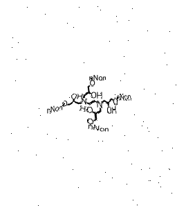 CCCCCCCCCOCC(O)CN(CCN(CC(O)COCCCCCCCCC)CC(O)COCCCCCCCCC)CC(O)COCCCCCCCCC